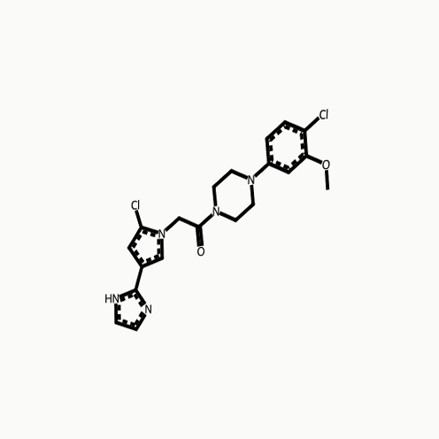 COc1cc(N2CCN(C(=O)Cn3cc(-c4ncc[nH]4)cc3Cl)CC2)ccc1Cl